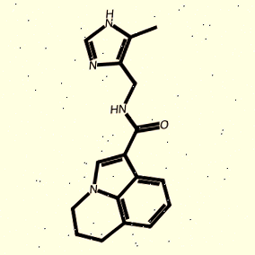 Cc1[nH]cnc1CNC(=O)c1cn2c3c(cccc13)CCC2